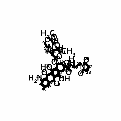 CO[C@H]1OCCN2[C@@H]1O[C@@H]1[C@H](C)O[C@@H](O[C@H]3C[C@](O)(C(=O)NCCN4C(=O)C=CC4=O)Cc4c(O)c5c(c(O)c43)C(=O)c3c(N)cccc3C5=O)C[C@@H]12